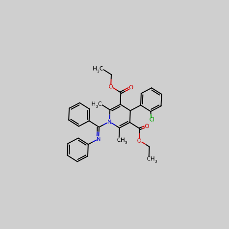 CCOC(=O)C1=C(C)N(C(=Nc2ccccc2)c2ccccc2)C(C)=C(C(=O)OCC)C1c1ccccc1Cl